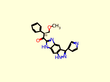 COC[C@@H](C(=O)c1nc2cc3c(-c4ccncc4)n[nH]c3cc2[nH]1)c1ccccc1